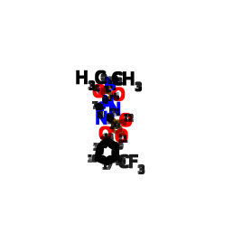 CN(C)S(=O)(=O)n1cnc(S(=O)(=O)Oc2cccc(C(F)(F)F)c2)n1